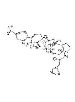 CC1(C)C(c2ccc(C(=O)O)cc2)=CC[C@@]2(C)C1CC[C@]1(C)C2CC[C@@H]2C3CCC[C@]3(NC(=O)Cn3ccnc3)CC[C@]21C